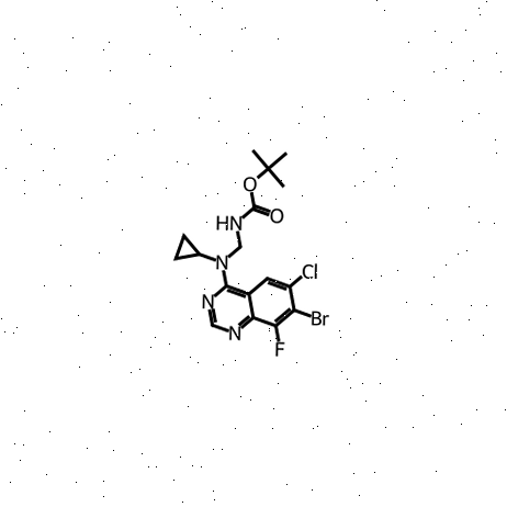 CC(C)(C)OC(=O)NCN(c1ncnc2c(F)c(Br)c(Cl)cc12)C1CC1